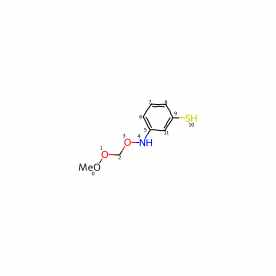 COOCONc1cccc(S)c1